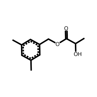 Cc1cc(C)cc(COC(=O)C(C)O)c1